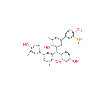 CPc1cc(-c2cc(C)c(O)c(C(c3ccc(O)cc3)c3cc(-c4ccc(O)c(C)c4)cc(C)c3O)c2)ccc1O